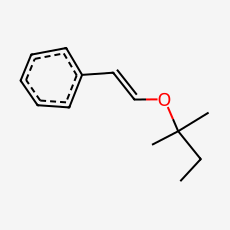 CCC(C)(C)OC=Cc1ccccc1